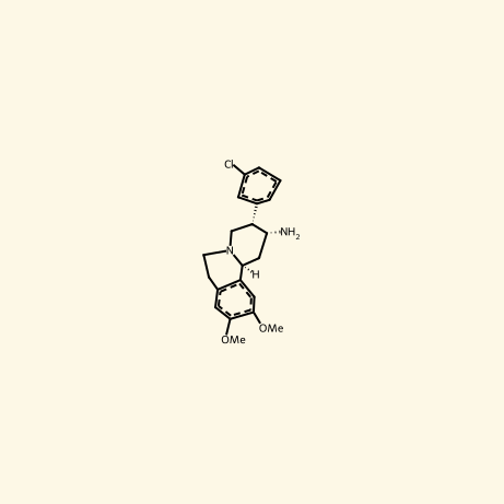 COc1cc2c(cc1OC)[C@@H]1C[C@@H](N)[C@@H](c3cccc(Cl)c3)CN1CC2